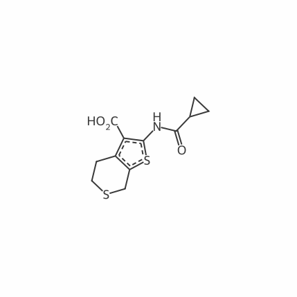 O=C(O)c1c(NC(=O)C2CC2)sc2c1CCSC2